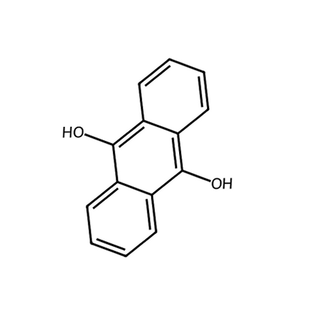 Oc1c2ccccc2c(O)c2ccccc12